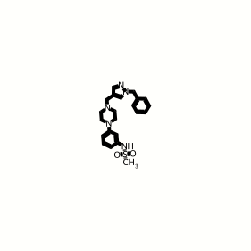 CS(=O)(=O)Nc1cccc(N2CCN(Cc3cnn(Cc4ccccc4)c3)CC2)c1